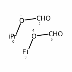 CC(C)OC=O.CCOC=O